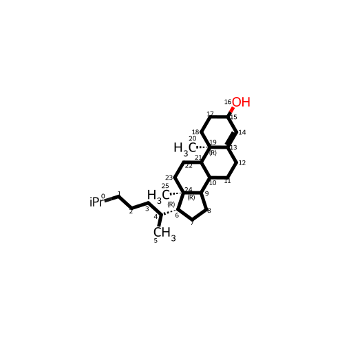 CC(C)CCCC(C)[C@H]1CCC2C3CCC4=CC(O)CC[C@]4(C)C3CC[C@@]21C